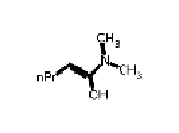 CCC/C=C(\O)N(C)C